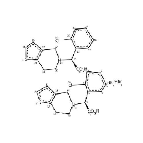 Br.Br.O=C(O)[C@H](c1ccccc1Cl)N1CCc2sccc2C1.O=C(O)[C@H](c1ccccc1Cl)N1CCc2sccc2C1